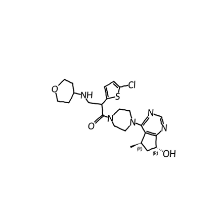 C[C@@H]1C[C@@H](O)c2ncnc(N3CCN(C(=O)C(CNC4CCOCC4)c4ccc(Cl)s4)CC3)c21